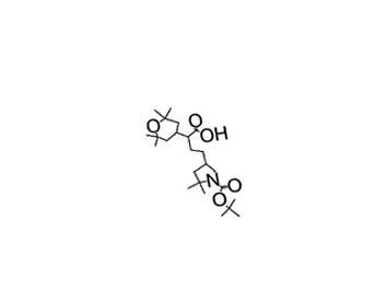 CC(C)(C)OC(=O)N1CC(CCC(C(=O)O)C2CC(C)(C)OC(C)(C)C2)CC1(C)C